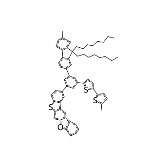 CCCCCCCCC1(CCCCCCCC)c2cc(C)ccc2-c2ccc(-c3cc(-c4ccc5sc6cc7oc8ccccc8c7cc6c5c4)cc(-c4ccc(-c5ccc(C)s5)s4)c3)cc21